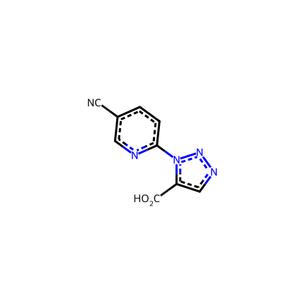 N#Cc1ccc(-n2nncc2C(=O)O)nc1